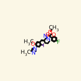 CCOC(=O)C1(c2ccc(F)cc2)ON=C2/C(=C/c3cc(OC)c(-n4cnc(C)c4)cc3I)CCCN21